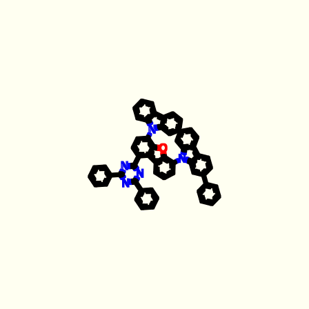 c1ccc(-c2ccc3c4ccccc4n(-c4cccc5c4oc4c(-n6c7ccccc7c7ccccc76)ccc(-c6nc(-c7ccccc7)nc(-c7ccccc7)n6)c45)c3c2)cc1